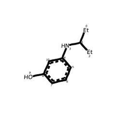 CCC(CC)Nc1cccc(O)c1